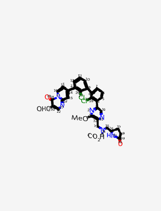 COc1nc(-c2cccc(-c3cccc(-c4ccn5c(=O)c(C=O)cnc5c4)c3Cl)c2Cl)cnc1CN(CC1CCC(=O)N1)C(=O)O